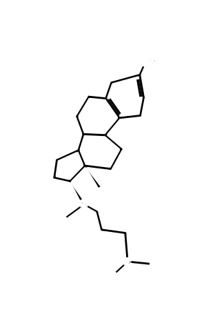 COC1=CCC2=C(CCC3C2CC[C@@]2(C)C3CC[C@@H]2N(C)CCCN(C)C)C1